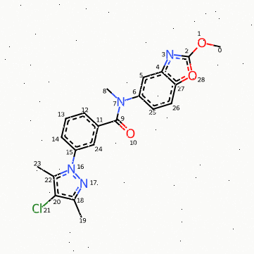 COc1nc2cc(N(C)C(=O)c3cccc(-n4nc(C)c(Cl)c4C)c3)ccc2o1